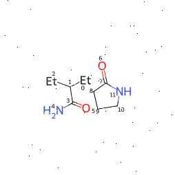 CCC(CC)C(N)=O.O=C1CCCN1